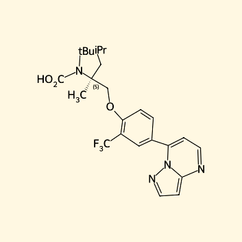 CC(C)C[C@@](C)(COc1ccc(-c2ccnc3ccnn23)cc1C(F)(F)F)N(C(=O)O)C(C)(C)C